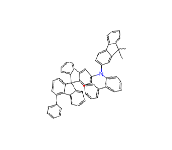 CC1(C)c2ccccc2-c2ccc(N(c3ccc4c(c3)-c3ccccc3C43c4ccccc4-c4c(-c5ccccc5)cccc43)c3ccccc3-c3ccccc3)cc21